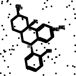 CN1CCN2C[C@@H](c3ccccc3O)c3ccccc3[C@H]2C1.Cl.Cl